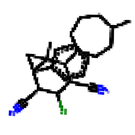 CC1CCCC(C2C(C#N)C(Cl)C(C#N)C3(c4ccccc4)CC23C)CC1